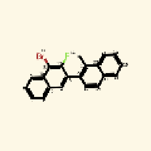 [CH2]c1c(-c2cc3ccccc3c(Br)c2F)ccc2ccccc12